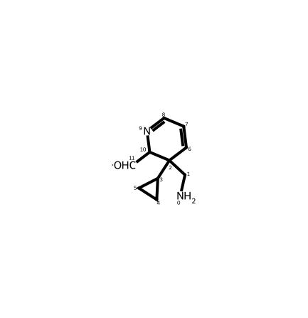 NCC1(C2CC2)C=CC=NC1[C]=O